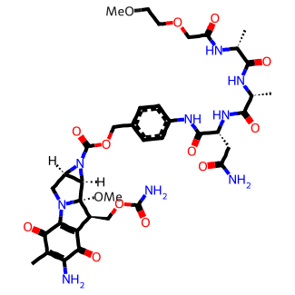 COCCOCC(=O)N[C@H](C)C(=O)N[C@H](C)C(=O)N[C@H](CC(N)=O)C(=O)Nc1ccc(COC(=O)N2[C@@H]3CN4C5=C(C(=O)C(N)=C(C)C5=O)[C@H](COC(N)=O)[C@]4(OC)[C@@H]32)cc1